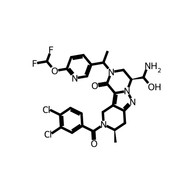 CC(c1ccc(OC(F)F)nc1)N1C[C@@H](C(N)O)n2nc3c(c2C1=O)CN(C(=O)c1ccc(Cl)c(Cl)c1)[C@H](C)C3